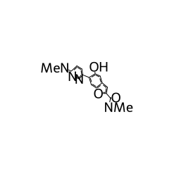 CNC(=O)c1cc2cc(O)c(-c3ccc(NC)nn3)cc2o1